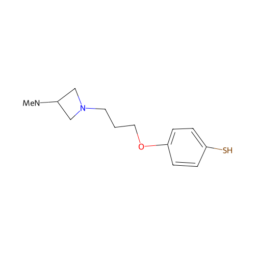 CNC1CN(CCCOc2ccc(S)cc2)C1